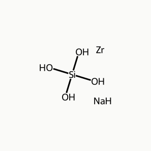 O[Si](O)(O)O.[NaH].[Zr]